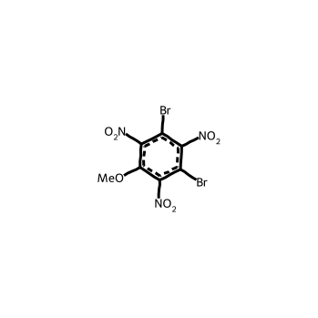 COc1c([N+](=O)[O-])c(Br)c([N+](=O)[O-])c(Br)c1[N+](=O)[O-]